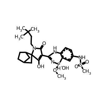 CO[PH]1(O)N=C(C2=C(O)C3(CC4CCC3C4)N(CCC(C)(C)C)C2=O)Nc2ccc(NS(C)(=O)=O)cc21